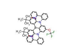 CC(C)(C)c1ccc2c(c1)B1c3cc(C(C)(C)C)ccc3N(c3ccccc3-c3ccccn3)c3cc(OC(F)(F)F)cc(c31)N2c1ccccc1-c1ccccn1